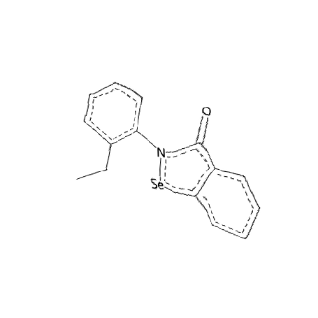 CCc1ccccc1-n1[se]c2ccccc2c1=O